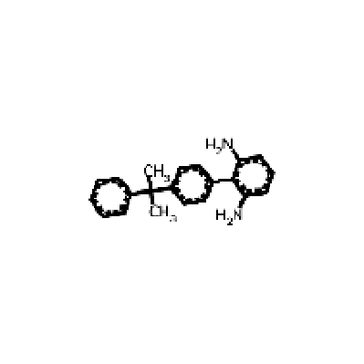 CC(C)(c1ccccc1)c1ccc(-c2c(N)cccc2N)cc1